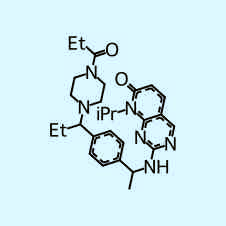 CCC(=O)N1CCN(C(CC)c2ccc(C(C)Nc3ncc4ccc(=O)n(C(C)C)c4n3)cc2)CC1